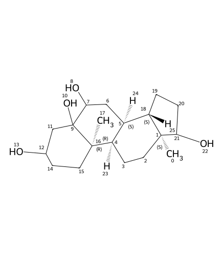 C[C@]12CC[C@@H]3[C@@H](CC(O)C4(O)CC(O)CC[C@]34C)[C@@H]1CCC2O